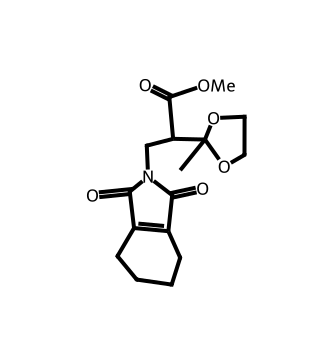 COC(=O)C(CN1C(=O)C2=C(CCCC2)C1=O)C1(C)OCCO1